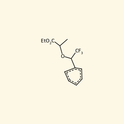 CCOC(=O)C(C)OC(c1ccccc1)C(F)(F)F